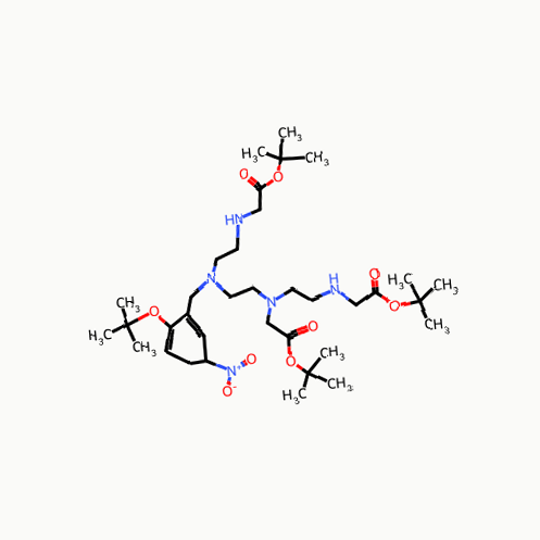 CC(C)(C)OC(=O)CNCCN(CCN(CCNCC(=O)OC(C)(C)C)CC1=CC([N+](=O)[O-])CC=C1OC(C)(C)C)CC(=O)OC(C)(C)C